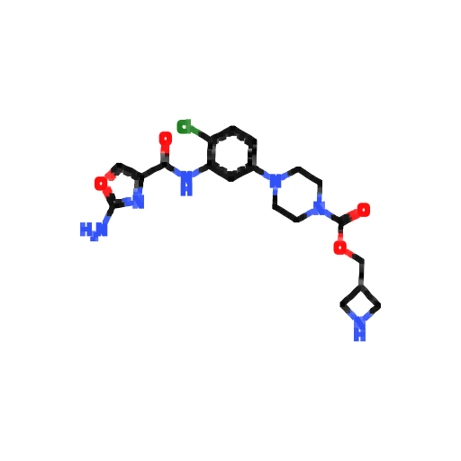 Nc1nc(C(=O)Nc2cc(N3CCN(C(=O)OCC4CNC4)CC3)ccc2Cl)co1